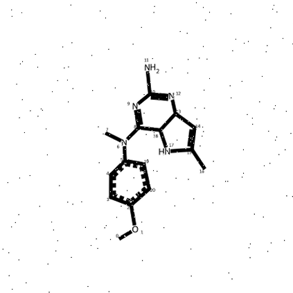 COc1ccc(N(C)C2=NC(N)=NC3C=C(C)NC23)cc1